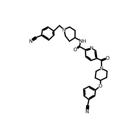 N#Cc1ccc(CN2CCC(NC(=O)c3ccc(C(=O)N4CCC(Oc5cccc(C#N)c5)CC4)cn3)CC2)cc1